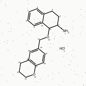 Cl.NC1CCc2ccccc2C1OCc1ccc2c(c1)CCCO2